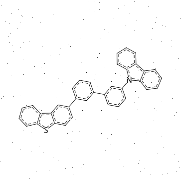 c1cc(-c2cccc(-n3c4ccccc4c4ccccc43)c2)cc(-c2ccc3sc4ccccc4c3c2)c1